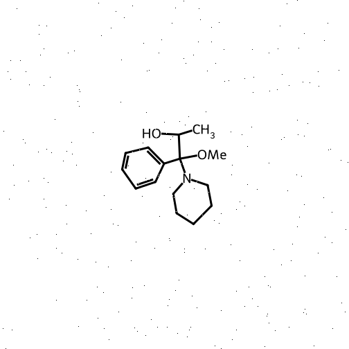 COC(c1ccccc1)(C(C)O)N1CCCCC1